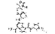 CNc1cc(Nc2cccn([C@H]3[C@@H]4COC[C@@H]43)c2=O)nc2c(C(=O)NC3CC[C@H](OC)C3)cnn12